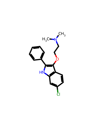 CN(C)CCOc1c(-c2ccccc2)[nH]c2cc(Cl)ccc12